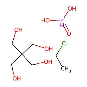 CCCl.O=[PH](O)O.OCC(CO)(CO)CO